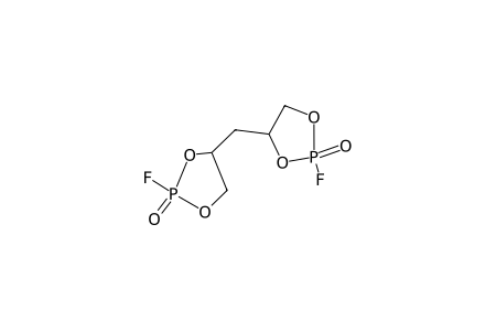 O=P1(F)OCC(CC2COP(=O)(F)O2)O1